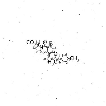 CC1CC2CC(C1)CC(C)(COc1cc(F)c(C(=O)N3CCC[C@H]3C(=O)O)cc1C1CCC1)C2